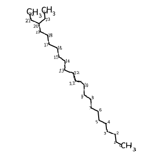 CCCCCCCCCCCCCCCCCCCCC(CC)CC